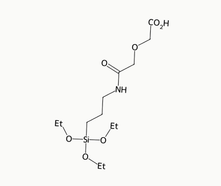 CCO[Si](CCCNC(=O)COCC(=O)O)(OCC)OCC